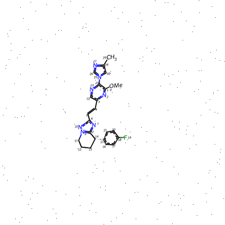 COc1nc(/C=C/c2nc3n(n2)CCC[C@H]3c2ccc(F)cc2)cnc1-n1cnc(C)c1